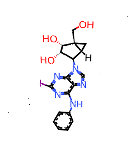 OC[C@@]12C[C@@H]1[C@@H](n1cnc3c(Nc4ccccc4)nc(I)nc31)[C@H](O)[C@@H]2O